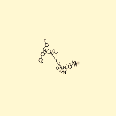 Cc1nc(-c2nc[nH]n2)ccc1-c1cnc2c(n1)N(CCOCCCCCN(C(=O)C(C)C)[C@@H]1CCc3c(c4cc(-c5cccnc5)ccc4n3Cc3cccc(F)c3)C1)C(=O)CN2